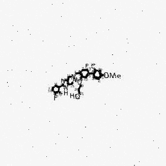 COc1ccc(-c2ccc(CN3Cc4nc(-c5cccc(F)c5F)[nH]c4C=N3)c(OCCCO)c2)c(C(F)(F)F)c1